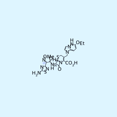 CCOC1=CC=C2N(CC3=C(C(=O)O)N4C(=O)[C@@H](NC(=O)/C(=N\OC)c5nsc(N)n5)[C@@H]4SC3)C=CN2N1